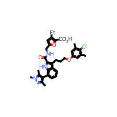 CCc1cc(CNC(=O)c2[nH]c3c(-c4c(C)nn(C)c4C)cccc3c2CCCOc2cc(C)c(Cl)c(C)c2)oc1C(=O)O